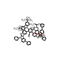 C/C=C(/C)[C@H](C)Cc1cc(C(C)(C)C)ccc1Nc1cc(-n2c3ccc(C(C)(C)C)cc3c3cc(C(C)(C)C)ccc32)c(-c2ccc3nc4n(-c5ccccc5)c5ccc(-c6ccccc6)cc5n4c3c2)c(C#N)c1-c1ccc2nc3n(-c4ccccc4)c4ccc(-c5ccccc5)cc4n3c2c1